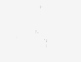 Cc1cccc(I)c1Cn1nc(C2CC2)c2ccc(Br)cc21